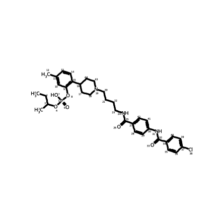 CCC(C)OP(=O)(O)Oc1cc(C)ccc1C1CCN(CCCCNC(=O)c2ccc(NC(=O)c3ccc(Cl)cc3)cc2)CC1